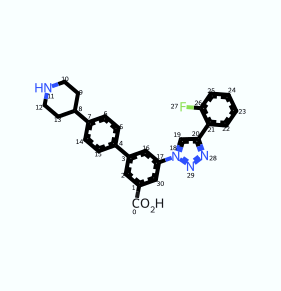 O=C(O)c1cc(-c2ccc(C3CCNCC3)cc2)cc(-n2cc(-c3ccccc3F)nn2)c1